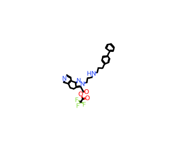 O=C(OC(=O)C(F)(F)F)c1c2c(nn1CCCNCCCc1ccc(-c3ccccc3)cc1)-c1ccncc1CC2